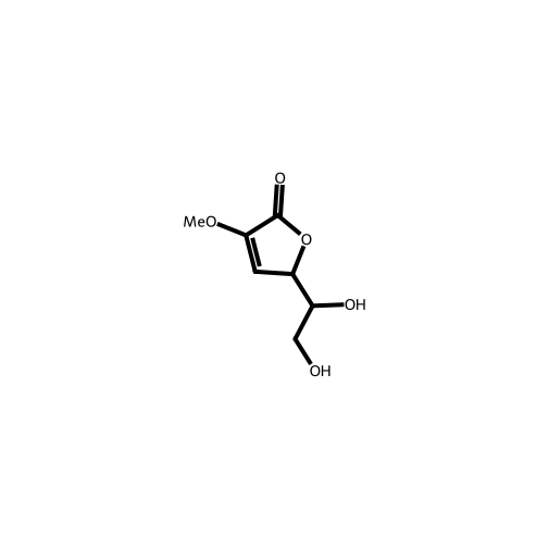 COC1=CC(C(O)CO)OC1=O